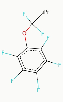 CC(C)C(F)(F)Oc1c(F)c(F)c(F)c(F)c1F